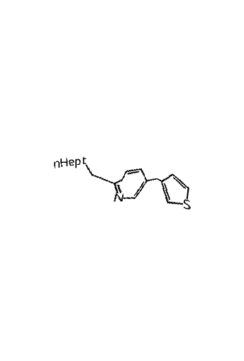 CCCCCCCCc1ccc(-c2ccsc2)cn1